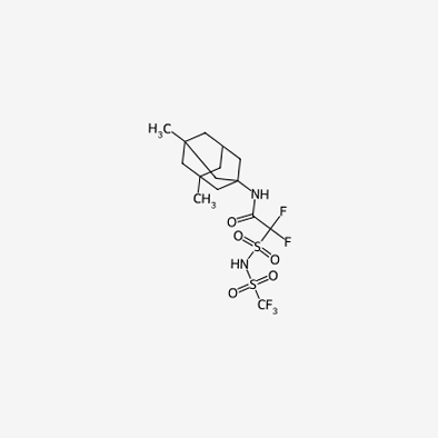 CC12CC3CC(C)(C1)CC(NC(=O)C(F)(F)S(=O)(=O)NS(=O)(=O)C(F)(F)F)(C3)C2